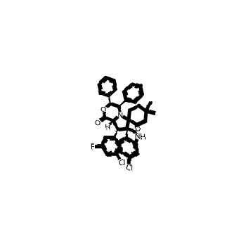 CC1(C)CCC2(CC1)N1[C@H](c3ccccc3)[C@H](c3ccccc3)OC(=O)[C@H]1[C@H](c1cc(F)cc(Cl)c1)[C@@]21C(=O)Nc2cc(Cl)ccc21